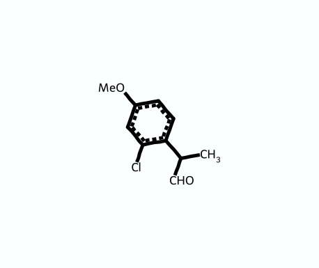 COc1ccc(C(C)C=O)c(Cl)c1